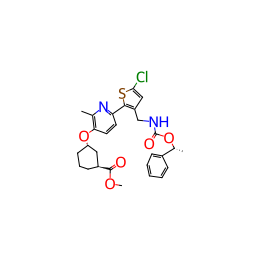 COC(=O)[C@H]1CCC[C@H](Oc2ccc(-c3sc(Cl)cc3CNC(=O)O[C@H](C)c3ccccc3)nc2C)C1